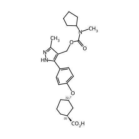 Cc1n[nH]c(-c2ccc(O[C@H]3CCC[C@H](C(=O)O)C3)cc2)c1COC(=O)N(C)C1CCCC1